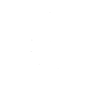 [CH2]c1ccccc1C1CCC(CCCC)CC1